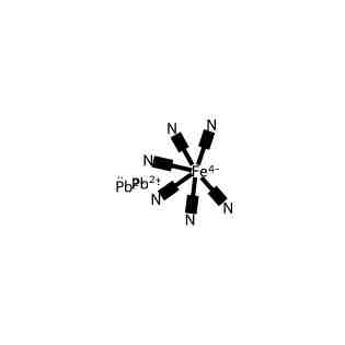 N#[C][Fe-4]([C]#N)([C]#N)([C]#N)([C]#N)[C]#N.[Pb+2].[Pb+2]